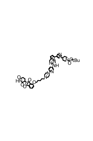 CC(C)(C)OC(=O)N1CCC(n2cc(-c3ccc4cnc(Nc5ccc(N6CCN(CCCCCOc7cccc8c7C(=O)N(C7CCC(=O)NC7=O)C8=O)CC6)nc5)nn34)cn2)CC1